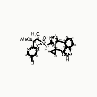 COCC1(n2c(NS(=O)(=O)[C@@H](C)[C@H](OC)c3ncc(Cl)cn3)nnc2-c2cccc3n[nH]cc23)CC1